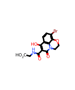 O=C(O)CNC(=O)c1c(O)c2ccc(Br)c3c2n(c1=O)CCO3